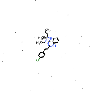 CCCC(C)NC1(N(CC)CC)N=C(C=Cc2ccc(Cl)cc2)Nc2ccccc21